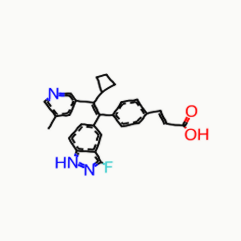 Cc1cncc(C(=C(c2ccc(C=CC(=O)O)cc2)c2ccc3[nH]nc(F)c3c2)C2CCC2)c1